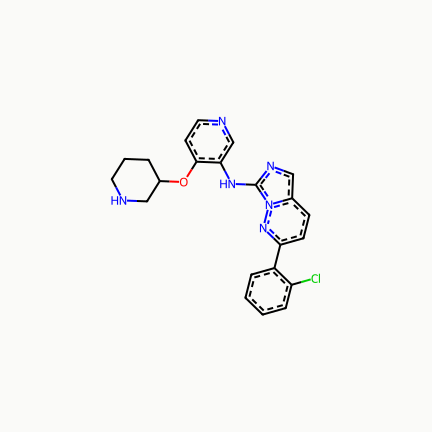 Clc1ccccc1-c1ccc2cnc(Nc3cnccc3OC3CCCNC3)n2n1